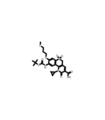 COCCCOc1cc2c(cc1NC(=O)OC(C)(C)C)-c1c(cc(C(=O)O)c(=O)n1C1CC1)CS2(=O)=O